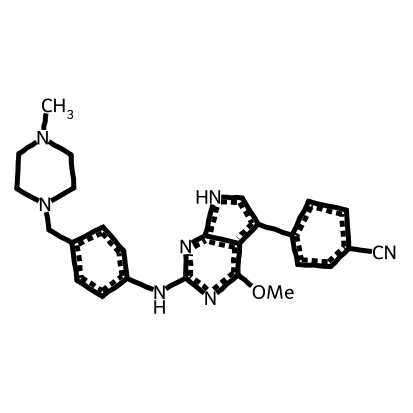 COc1nc(Nc2ccc(CN3CCN(C)CC3)cc2)nc2[nH]cc(-c3ccc(C#N)cc3)c12